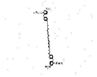 CCCCCc1cc(N)ccc1Cc1ccc(CCCCCCCCCCCCCCCCCCCCc2ccc(Cc3ccc(N)cc3CCCCC)cc2)cc1